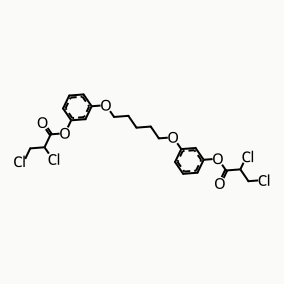 O=C(Oc1cccc(OCCCCCOc2cccc(OC(=O)C(Cl)CCl)c2)c1)C(Cl)CCl